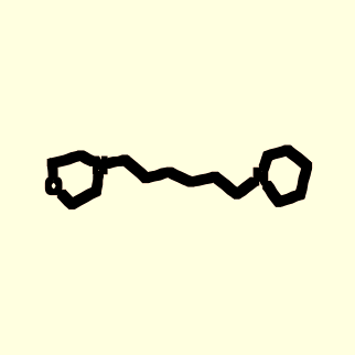 C(CCCN1CCOCC1)CCN1CCCCC1